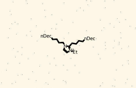 CCCCCCCCCCCCCCc1n(CCCCCCCCCCCCCC)cc[n+]1CC